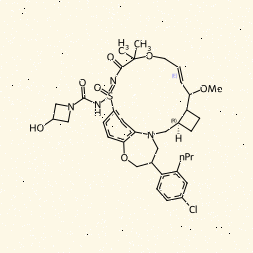 CCCc1cc(Cl)ccc1C1COc2ccc3cc2N(C1)C[C@@H]1CCC1C(OC)/C=C/COC(C)(C)C(=O)N=S3(=O)NC(=O)N1CC(O)C1